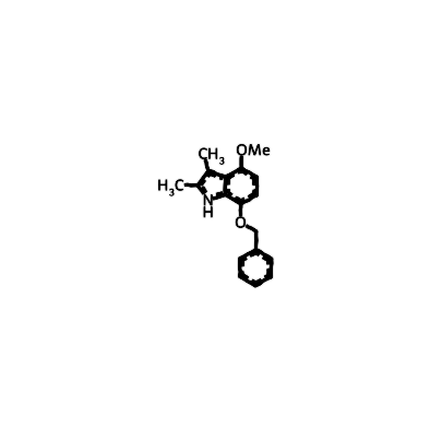 COc1ccc(OCc2ccccc2)c2[nH]c(C)c(C)c12